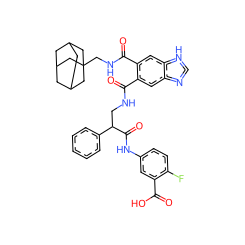 O=C(O)c1cc(NC(=O)C(CNC(=O)c2cc3nc[nH]c3cc2C(=O)NCC23CC4CC(CC(C4)C2)C3)c2ccccc2)ccc1F